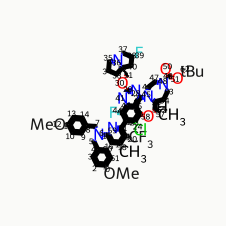 COc1ccc(CN(Cc2ccc(OC)cc2)c2cc(C)c(C(F)(F)F)c(-c3c(Cl)c4c5c(nc(OC[C@@]67CCCN6C[C@H](F)C7)nc5c3F)N3CCN(C(=O)OC(C)(C)C)CC[C@H]3[C@H](C)O4)n2)cc1